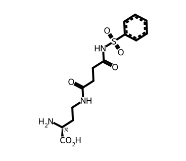 N[C@@H](CCNC(=O)CCC(=O)NS(=O)(=O)c1ccccc1)C(=O)O